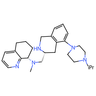 CC(C)N1CCN(c2cccc3c2C[C@H](CN(C)[C@H]2CCCc4cccnc42)NC3)CC1